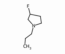 CCCN1CCC(F)C1